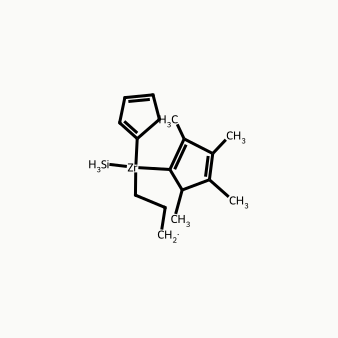 [CH2]C[CH2][Zr]([SiH3])([C]1=CC=CC1)[C]1=C(C)C(C)=C(C)C1C